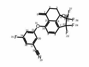 C=C1CCC2(O)c3c(ccc(Oc4cc(F)cc(C#N)c4)c31)C(F)(F)C2(F)F